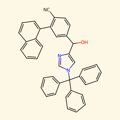 N#Cc1ccc(C(O)c2cn(C(c3ccccc3)(c3ccccc3)c3ccccc3)cn2)cc1-c1cccc2ccccc12